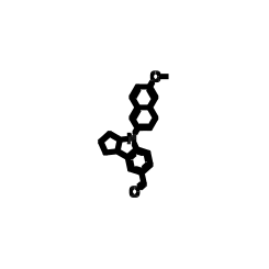 COC1=CC2CC=C(N3c4ccc(C=O)cc4C4CCCC43)C=C2C=C1